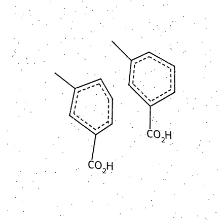 Cc1cccc(C(=O)O)c1.Cc1cccc(C(=O)O)c1